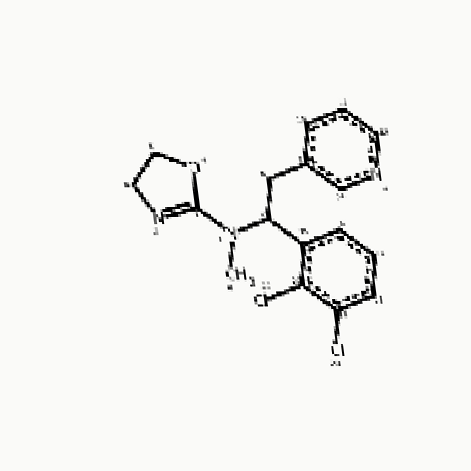 CN(C1=NCCO1)C(Cc1cccnc1)c1cccc(Cl)c1Cl